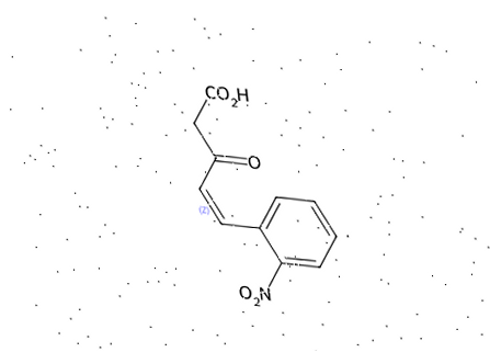 O=C(O)CC(=O)/C=C\c1ccccc1[N+](=O)[O-]